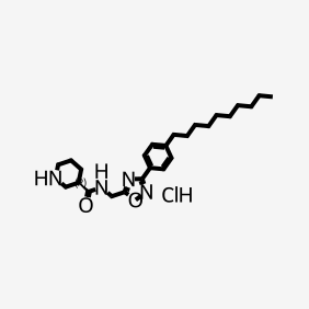 CCCCCCCCCCc1ccc(-c2noc(CNC(=O)[C@@H]3CCCNC3)n2)cc1.Cl